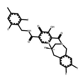 Cc1cc(F)c(CNC(=O)c2cn3c(c(O)c2=O)C(=O)N2Cc4cc(F)c(F)cc4C[C@H]3C2)c(F)c1